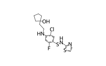 OC1(CCNc2cc(F)c(SNc3nccs3)cc2Cl)CCCC1